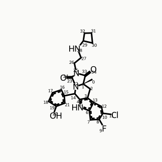 C[C@@]12Cc3c([nH]c4cc(F)c(Cl)cc34)C(c3cccc(O)c3)N1C(=O)N(CCNC1CCC1)C2=O